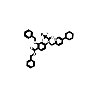 O=C(OCc1ccccc1)c1ccc(N(Cc2ccc(C3CCCCC3)cn2)C(=O)C(F)(F)F)cc1OCc1ccccc1